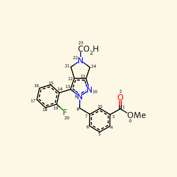 COC(=O)c1cccc(Cn2nc3c(c2-c2ccccc2F)CN(C(=O)O)C3)c1